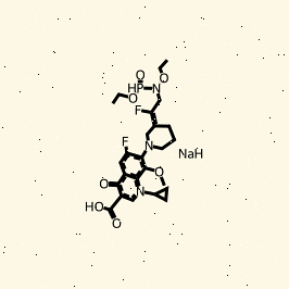 CCON(CC(F)=C1CCCN(c2c(F)cc3c(=O)c(C(=O)O)cn(C4CC4)c3c2OC)C1)[PH](=O)OCC.[NaH]